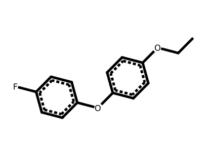 CCOc1ccc(Oc2ccc(F)cc2)cc1